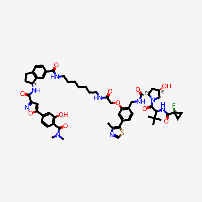 Cc1ncsc1-c1ccc(CNC(=O)[C@@H]2C[C@@H](O)CN2C(=O)C(NC(=O)C2(F)CC2)C(C)(C)C)c(OCC(=O)NCCCCCCCNC(=O)c2ccc3c(c2)[C@H](NC(=O)c2cc(-c4ccc(C(=O)N(C)C)c(O)c4)on2)CC3)c1